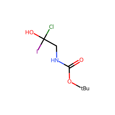 CC(C)(C)OC(=O)NCC(O)(Cl)I